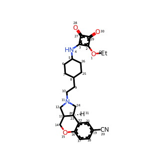 CCOc1c(NC2CCC(CCN3CC4COc5ccc(C#N)cc5[C@@H]4C3)CC2)c(=O)c1=O